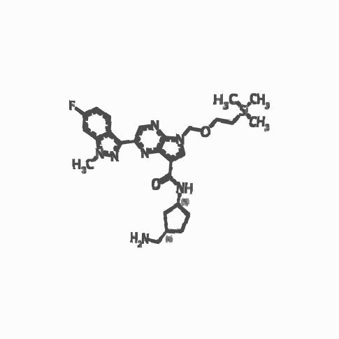 Cn1nc(-c2cnc3c(n2)c(C(=O)N[C@H]2CC[C@@H](CN)C2)cn3COCC[Si](C)(C)C)c2ccc(F)cc21